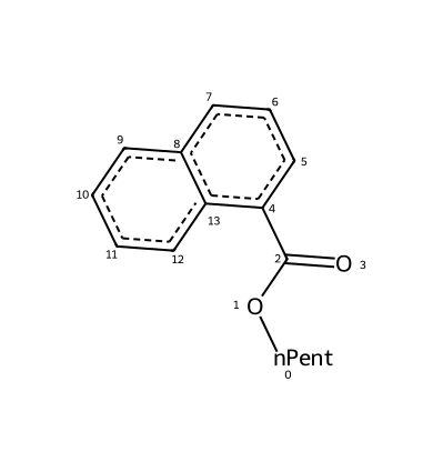 CCCCCOC(=O)c1cccc2ccccc12